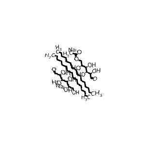 CC(=O)OC[C@@H](O)[C@@H](O)[C@H](O)[C@@H](O)C=O.CCCCCCCCCCCCCCCC.CCCCCCCCCCCCCCCC.O=C[C@H](O)[C@@H](O)[C@H](O)[C@H](O)CO.[Na].[Na]